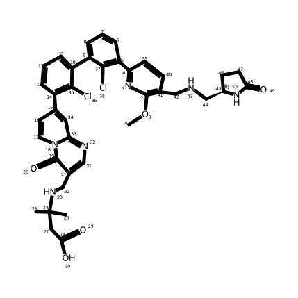 COc1nc(-c2cccc(-c3cccc(-c4ccn5c(=O)c(CNC(C)(C)CC(=O)O)cnc5c4)c3Cl)c2Cl)ccc1CNC[C@H]1CCC(=O)N1